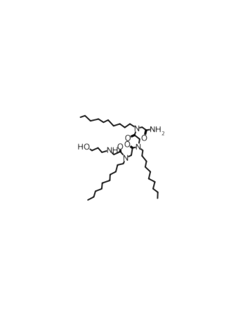 CCCCCCCCCCN(CC(N)=O)C(=O)CN(CCCCCCCCCC)C(=O)CN(CCCCCCCCCC)C(=O)CNCCCO